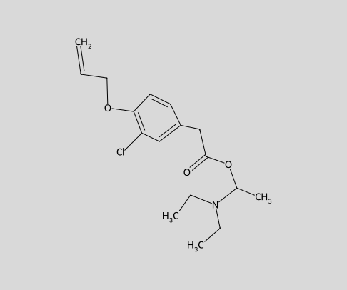 C=CCOc1ccc(CC(=O)OC(C)N(CC)CC)cc1Cl